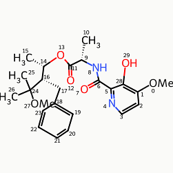 COc1ccnc(C(=O)N[C@@H](C)C(=O)O[C@@H](C)[C@H](Cc2ccccc2)C(C)(C)OC)c1O